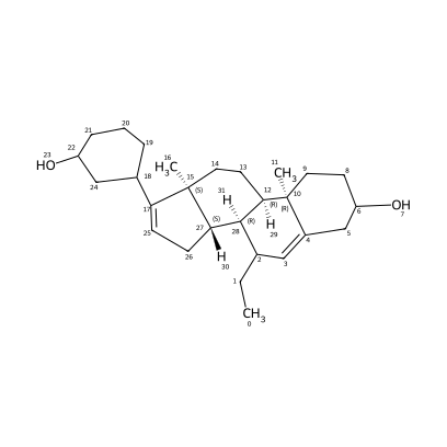 CCC1C=C2CC(O)CC[C@]2(C)[C@@H]2CC[C@]3(C)C(C4CCCC(O)C4)=CC[C@H]3[C@H]12